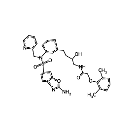 Cc1cccc(C)c1OCC(=O)NCC(O)CCc1cccc(N(Cc2ccccn2)S(=O)(=O)c2ccc3nc(N)oc3c2)c1